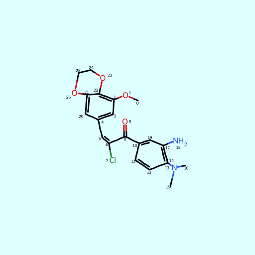 COc1cc(/C=C(/Cl)C(=O)c2ccc(N(C)C)c(N)c2)cc2c1OCCO2